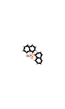 CC(C)(C)P(=O)(c1cccc2ccccc12)c1cccc2ccccc12